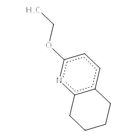 CCOc1ccc2c(n1)CCCC2